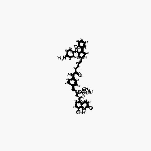 CC(C)(C)[Si](C)(C)O[C@H](CNCc1ccc(NC(=O)CC/C=C/c2ccc(-c3ccccc3)c(N(C(=O)O)C3CCC(N)CC3)c2)cc1)c1ccc(O)c2[nH]c(=O)ccc12